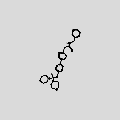 CC(Oc1ccc(-c2ccc(CC(=O)NCc3ccccc3)nc2)cc1)(N1CCSCC1)N1CCSCC1